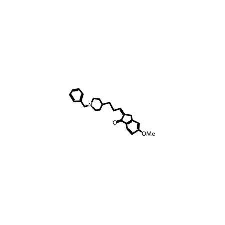 COc1ccc2c(c1)C/C(=C/CCC1CCN(Cc3ccccc3)CC1)C2=O